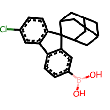 OB(O)c1ccc2c(c1)C1(c3ccc(Cl)cc3-2)C2CC3CC(C2)CC1C3